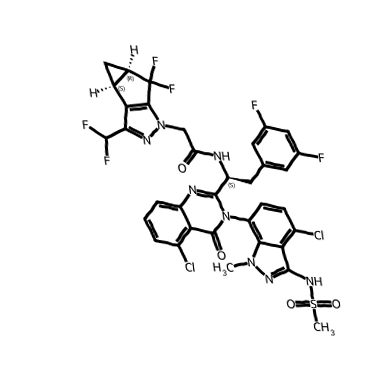 Cn1nc(NS(C)(=O)=O)c2c(Cl)ccc(-n3c([C@H](Cc4cc(F)cc(F)c4)NC(=O)Cn4nc(C(F)F)c5c4C(F)(F)[C@@H]4C[C@H]54)nc4cccc(Cl)c4c3=O)c21